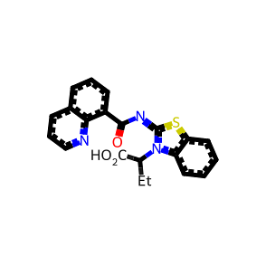 CCC(C(=O)O)n1/c(=N\C(=O)c2cccc3cccnc23)sc2ccccc21